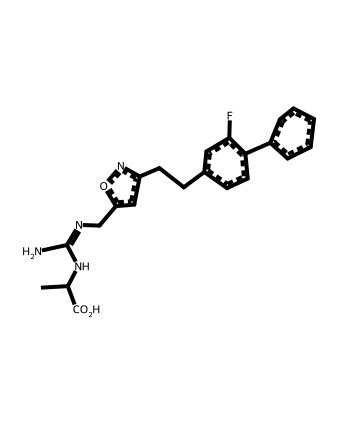 CC(NC(N)=NCc1cc(CCc2ccc(-c3ccccc3)c(F)c2)no1)C(=O)O